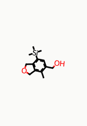 Cc1c(CO)cc([Si](C)(C)C)c2c1COC2